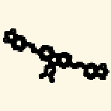 CCCC1(CCC)c2cc(/C=C/c3ccc4c(c3)OCO4)ccc2-c2ccc(/C=C/c3ccc4c(c3)OCO4)cc21